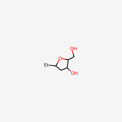 CCC1CC(O)C(CO)O1